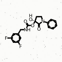 O=C(NCc1cc(F)cc(F)c1)O[C@@]1(O)CCN(c2ccccc2)C1=O